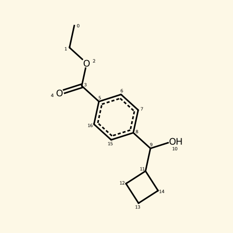 CCOC(=O)c1ccc(C(O)C2CCC2)cc1